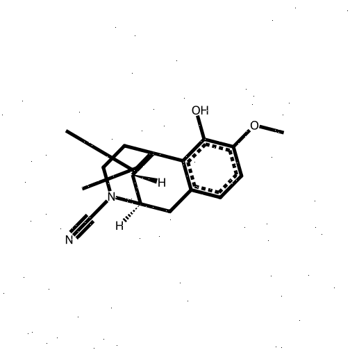 COc1ccc2c(c1O)[C@@]13CCC(C)C(C)[C@H]1[C@@H](C2)N(C#N)CC3